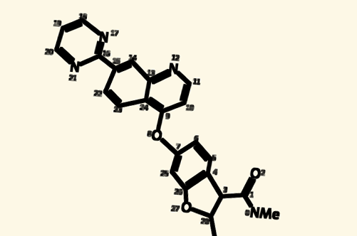 CNC(=O)C1c2ccc(Oc3ccnc4cc(-c5ncccn5)ccc34)cc2OC1C